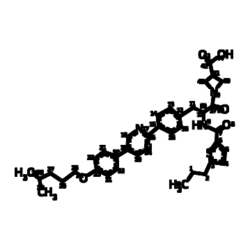 CCCc1ccc(C(=O)N[C@@H](Cc2ccc(-c3ncc(-c4ccc(OCCCC(C)C)cc4)cn3)cc2)C(=O)N2CC(C(=O)O)C2)s1